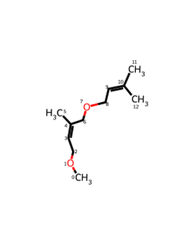 COCC=C(C)COCC=C(C)C